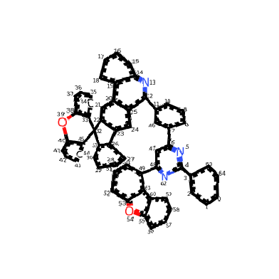 c1ccc(-c2nc(-c3cccc(-c4nc5ccccc5c5cc6c(cc45)-c4ccccc4C64c5ccccc5Oc5ccccc54)c3)cc(-c3cccc4oc5ccccc5c34)n2)cc1